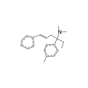 CCC(CC=Cc1ccccc1)(c1ccc(C)cc1)N(C)C